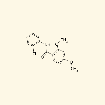 COc1ccc(C(=O)Nc2ccccc2Cl)c(OC)c1